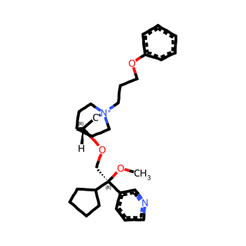 CO[C@@](CO[C@H]1C[N+]2(CCCOc3ccccc3)CCC1CC2)(c1cccnc1)C1CCCC1